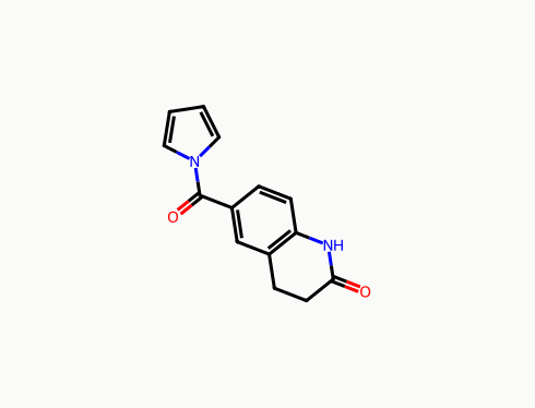 O=C1CCc2cc(C(=O)n3cccc3)ccc2N1